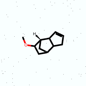 COC1CC2C[C@H]1C1C=CCC21